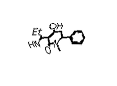 CCC(=N)C1=C(O)CC(c2ccccc2)N(C)C1=O